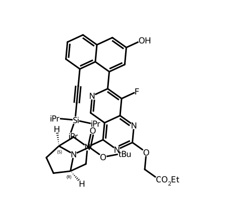 CCOC(=O)COc1nc(N2C[C@H]3CC[C@@H](C2)N3C(=O)OC(C)(C)C)c2cnc(-c3cc(O)cc4cccc(C#C[Si](C(C)C)(C(C)C)C(C)C)c34)c(F)c2n1